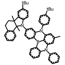 Cc1cc2c3c(c1)N(c1ccc(C(C)(C)C)cc1)c1cc(N4c5ccc(C(C)(C)C)cc5C5(C)CCc6ccccc6C45C)ccc1B3c1ccccc1N2c1ccccc1